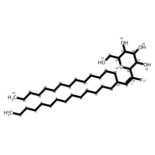 CCCCCCCCCCCCCCC(/C=C(/F)C1OC(CO)C(O)C(O)C1O)CCCCCCCCCCCCCC